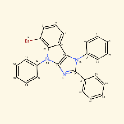 Brc1cccc2c3c(nc(-c4ccccc4)n3-c3ccccc3)n(-c3ccccc3)c12